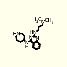 CN(C)CCCNc1nc(NC2CCCNCC2)c2ccccc2n1